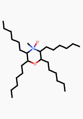 CCCCCCC1OC(CCCCCC)C(CCCCCC)[N+](C)([O-])C1CCCCCC